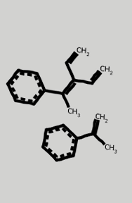 C=C(C)c1ccccc1.C=CC(C=C)=C(C)c1ccccc1